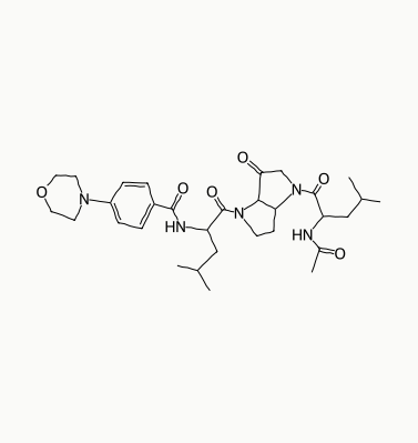 CC(=O)NC(CC(C)C)C(=O)N1CC(=O)C2C1CCN2C(=O)C(CC(C)C)NC(=O)c1ccc(N2CCOCC2)cc1